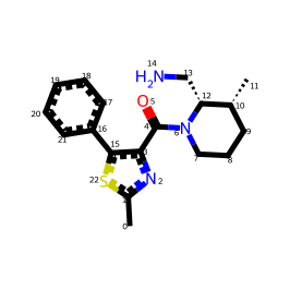 Cc1nc(C(=O)N2CCC[C@@H](C)[C@H]2CN)c(-c2ccccc2)s1